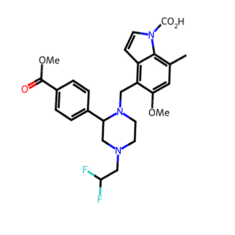 COC(=O)c1ccc(C2CN(CC(F)F)CCN2Cc2c(OC)cc(C)c3c2ccn3C(=O)O)cc1